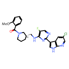 COc1ccccc1C(=O)N1CCC[C@@H](CNc2nc(-c3c[nH]c4ncc(Cl)cc34)ncc2F)C1